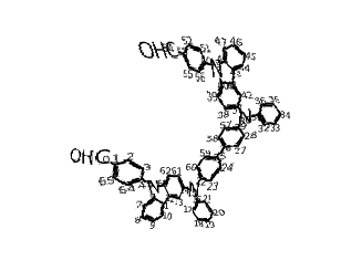 O=Cc1ccc(-n2c3ccccc3c3cc(N(c4ccccc4)c4ccc(-c5ccc(N(c6ccccc6)c6ccc7c(c6)c6ccccc6n7-c6ccc(C=O)cc6)cc5)cc4)ccc32)cc1